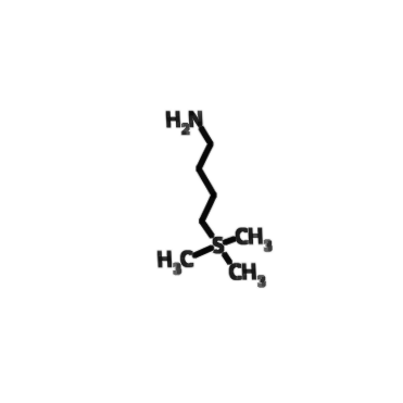 CS(C)(C)CCCCN